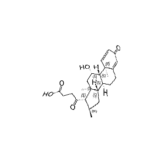 C[C@@H]1C[C@H]2[C@@H]3CCC4=CC(=O)C=C[C@]4(C)[C@H]3[C@@H](O)C[C@]2(C)[C@H]1C(=O)CCC(=O)O